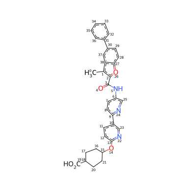 Cc1c(C(=O)Nc2ccc(-c3ccc(OC4CCC(C(=O)O)CC4)nc3)nc2)oc2ccc(-c3ccccc3)cc12